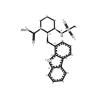 COC(=O)N1CCC[C@@H](NS(C)(=O)=O)[C@H]1Cc1cccc2c1oc1ccccc12